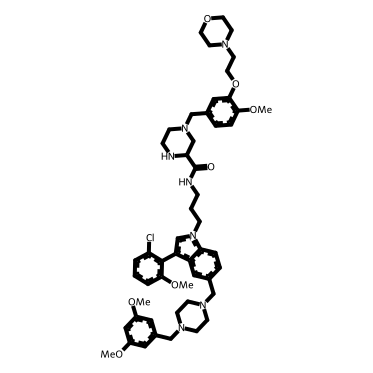 COc1cc(CN2CCN(Cc3ccc4c(c3)c(-c3c(Cl)cccc3OC)cn4CCCNC(=O)C3CN(Cc4ccc(OC)c(OCCN5CCOCC5)c4)CCN3)CC2)cc(OC)c1